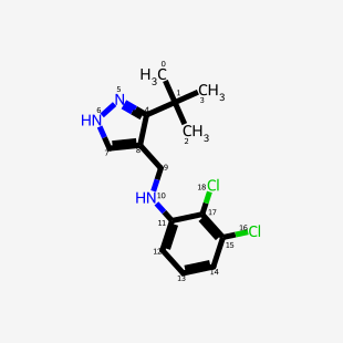 CC(C)(C)c1n[nH]cc1CNc1cccc(Cl)c1Cl